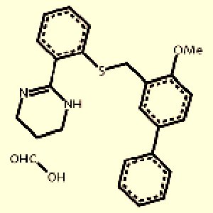 COc1ccc(-c2ccccc2)cc1CSc1ccccc1C1=NCCCN1.O=CO